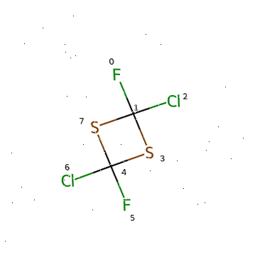 FC1(Cl)SC(F)(Cl)S1